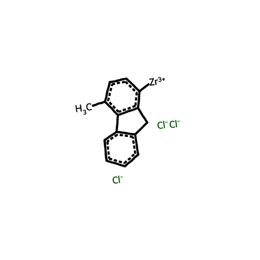 Cc1cc[c]([Zr+3])c2c1-c1ccccc1C2.[Cl-].[Cl-].[Cl-]